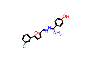 N/C(=N\N=C\c1ccc(-c2cccc(Cl)c2)o1)c1ccc(O)cc1